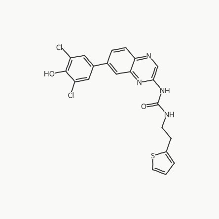 O=C(NCCc1cccs1)Nc1cnc2ccc(-c3cc(Cl)c(O)c(Cl)c3)cc2n1